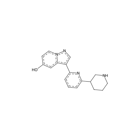 Oc1ccn2ncc(-c3cccc(C4CCCNC4)n3)c2c1